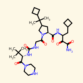 CC(C)(C1CCC1)C1C[C@@H](C(=O)NC(CC2CCC2)C(=O)C(N)=O)N(C(=O)CNC(=O)N[C@H](C(=O)N2CCNCC2)C(C)(C)C)C1